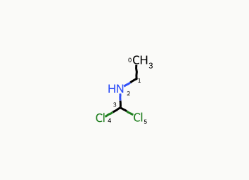 CCNC(Cl)Cl